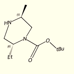 CC[C@@H]1CN[C@@H](C)CN1C(=O)OC(C)(C)C